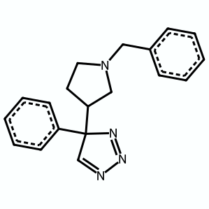 C1=NN=NC1(c1ccccc1)C1CCN(Cc2ccccc2)C1